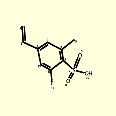 C=Cc1cc(C)c(S(=O)(=O)O)c(F)c1